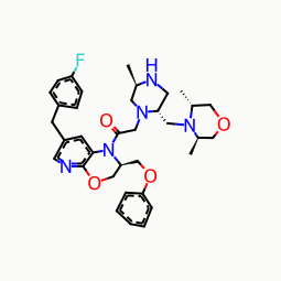 C[C@@H]1CN(CC(=O)N2c3cc(Cc4ccc(F)cc4)cnc3OC[C@@H]2COc2ccccc2)[C@@H](CN2[C@H](C)COC[C@H]2C)CN1